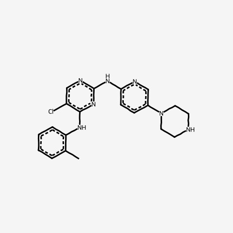 Cc1ccccc1Nc1nc(Nc2ccc(N3CCNCC3)cn2)ncc1Cl